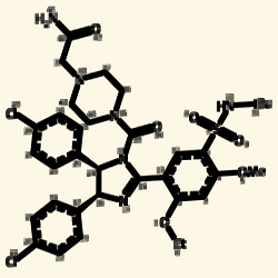 CCOc1cc(OC)c(S(=O)(=O)NC(C)(C)C)cc1C1=N[C@@H](c2ccc(Cl)cc2)[C@@H](c2ccc(Cl)cc2)N1C(=O)N1CCN(CC(N)=O)CC1